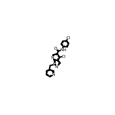 O=C(Nc1ccc(Cl)cc1)c1cnc2c(cnn2Cc2cccnc2)c1Cl